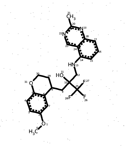 COc1ccc2c(c1)C(CC(O)(CNc1cccc3nc(C)ncc13)C(F)(F)F)CCO2